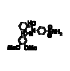 COc1ccc(C2=NN(c3ccc(S(N)(=O)=O)cc3)C(=O)[C@H]3CC=CC[C@@H]23)cc1OC